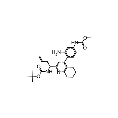 C=CC[C@H](NC(=O)OC(C)(C)C)c1cc(-c2ccc(NC(=O)OC)cc2N)c2c(n1)CCCC2